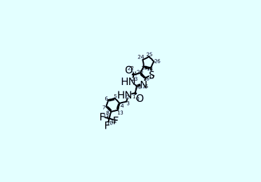 O=C(NCc1cccc(C(F)(F)F)c1)c1nc2sc3c(c2c(=O)[nH]1)CCC3